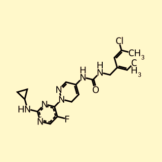 C/C=C(\C=C(/C)Cl)CNC(=O)NC1=CCN(c2nc(NC3CC3)ncc2F)N=C1